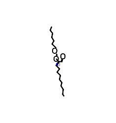 CCCCCCCCC/C=C(\C=O)OCOCCCCCCC